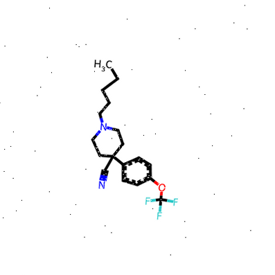 CCCCCN1CCC(C#N)(c2ccc(OC(F)(F)F)cc2)CC1